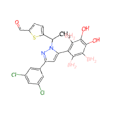 Bc1c(B)c(-c2cc(-c3cc(Cl)cc(Cl)c3)nn2C(C)c2ccc(C=O)s2)c(B)c(O)c1O